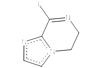 IC1=NCCn2ccnc21